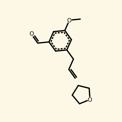 C1CCOC1.C=CCc1cc(C=O)cc(OC)c1